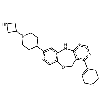 C1=C(c2ncnc3c2COc2ccc(C4CCN(C5CNC5)CC4)cc2N3)CCOC1